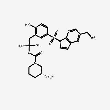 Cc1ccc(S(=O)(=O)n2ccc3nc(CN)cnc32)cc1CC(C)(C)OC(=O)N1CCC[C@@H](C(=O)O)C1